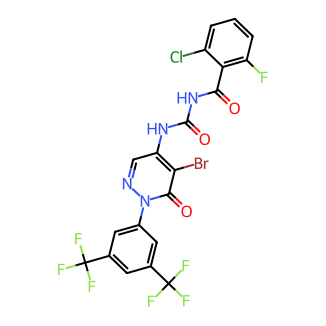 O=C(NC(=O)c1c(F)cccc1Cl)Nc1cnn(-c2cc(C(F)(F)F)cc(C(F)(F)F)c2)c(=O)c1Br